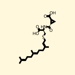 CC(C)=CCC/C(C)=C/CC/C(C)=C/CSC[C@H](NC(=O)[C@H]1CC1C(=O)O)C(=O)O